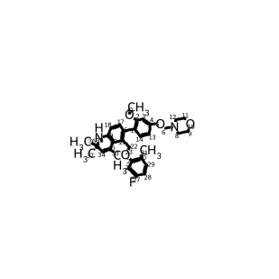 COc1cc(OCN2CCOCC2)ccc1-c1ccc2c(c1COc1cc(F)ccc1C)C(C)=CC(C)(C)N2